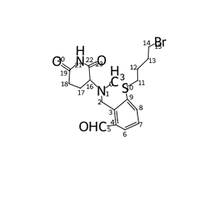 CN(Cc1c(C=O)cccc1SCCCCBr)C1CCC(=O)NC1=O